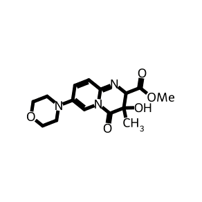 COC(=O)C1N=C2C=CC(N3CCOCC3)=CN2C(=O)C1(C)O